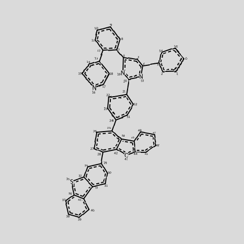 c1ccc(-c2cc(-c3ccccc3-c3ccncc3)nc(-c3ccc(-c4ccc(-c5ccc6c(c5)sc5ccccc56)c5oc6ccccc6c45)cc3)n2)cc1